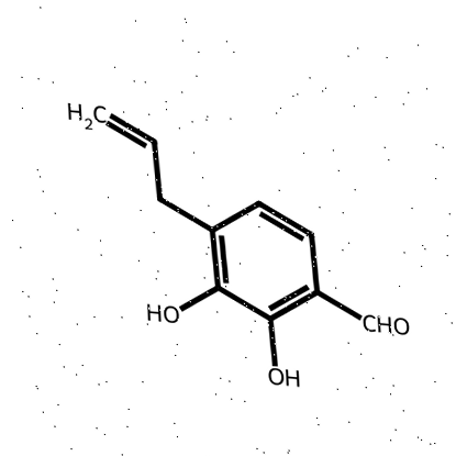 C=CCc1ccc(C=O)c(O)c1O